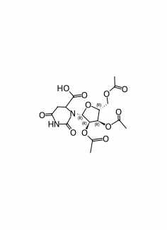 CC(=O)OC[C@H]1O[C@@H](N2C(=O)NC(=O)CC2C(=O)O)[C@H](OC(C)=O)[C@@H]1OC(C)=O